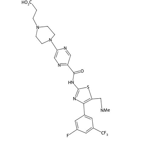 CNCc1sc(NC(=O)c2cnc(N3CCN(CCC(=O)O)CC3)cn2)nc1-c1cc(F)cc(C(F)(F)F)c1